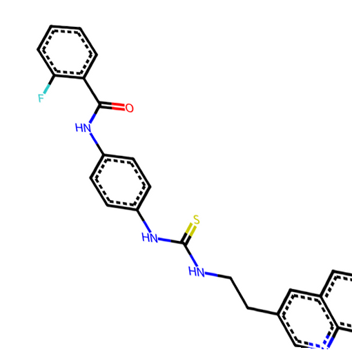 O=C(Nc1ccc(NC(=S)NCCc2cnc3ccccc3c2)cc1)c1ccccc1F